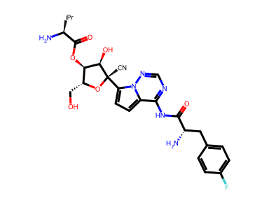 CC(C)[C@H](N)C(=O)O[C@H]1[C@@H](O)[C@](C#N)(c2ccc3c(NC(=O)[C@@H](N)Cc4ccc(F)cc4)ncnn23)O[C@@H]1CO